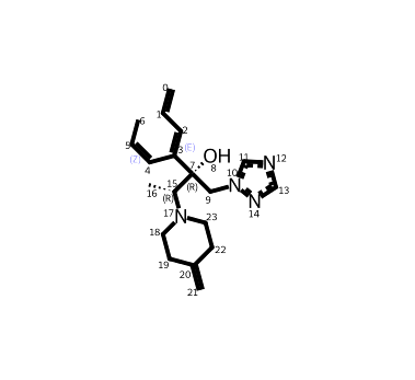 C=C/C=C(\C=C/C)[C@@](O)(Cn1cncn1)[C@@H](C)N1CCC(=C)CC1